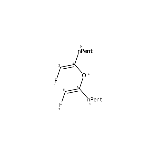 CCCCCC(=CF)OC(=CF)CCCCC